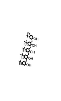 CCC(C)(C)c1ccc(O)c(Cc2cc(C(C)(C)CC)cc(Cc3cc(C(C)(C)CC)cc(Cc4cc(C(C)(C)CC)cc(Cc5cc(C(C)(C)CC)ccc5O)c4O)c3O)c2O)c1